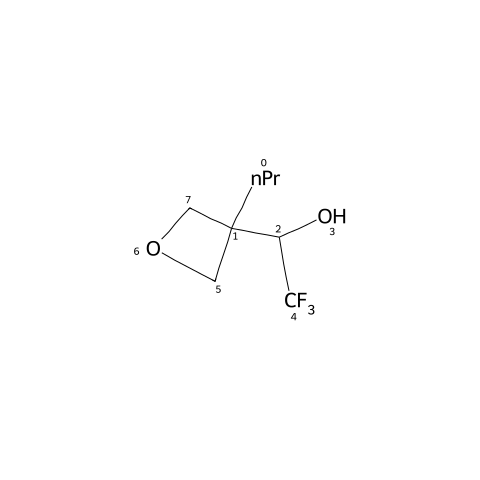 CCCC1(C(O)C(F)(F)F)COC1